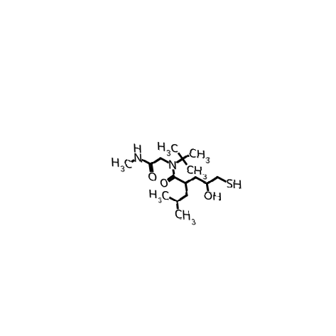 CNC(=O)CN(C(=O)C(CC(C)C)CC(O)CS)C(C)(C)C